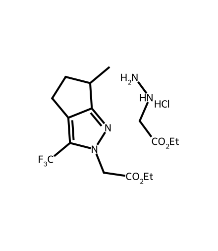 CCOC(=O)CNN.CCOC(=O)Cn1nc2c(c1C(F)(F)F)CCC2C.Cl